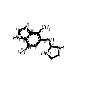 Cc1c(NC2NCCN2)cc(O)c2[nH]cnc12